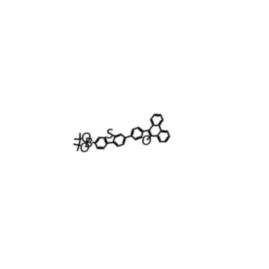 CC1(C)OB(c2ccc3c(c2)sc2cc(-c4ccc5c(c4)oc4c6ccccc6c6ccccc6c54)ccc23)OC1(C)C